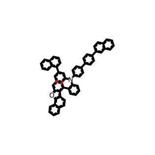 c1cc(-c2cccc3ccccc23)cc(N(c2ccc(-c3ccc(-c4ccc5ccccc5c4)cc3)cc2)c2ccccc2-c2cccc3oc4c5ccccc5ccc4c23)c1